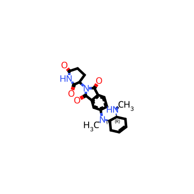 CN[C@@H]1CC=CC[C@H]1N(C)c1ccc2c(c1)C(=O)N(C1CCC(=O)NC1=O)C2=O